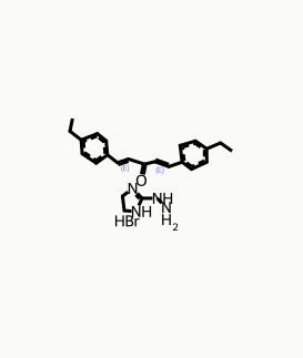 Br.CCc1ccc(/C=C/C(=O)/C=C/c2ccc(CC)cc2)cc1.NNC1=NCCN1